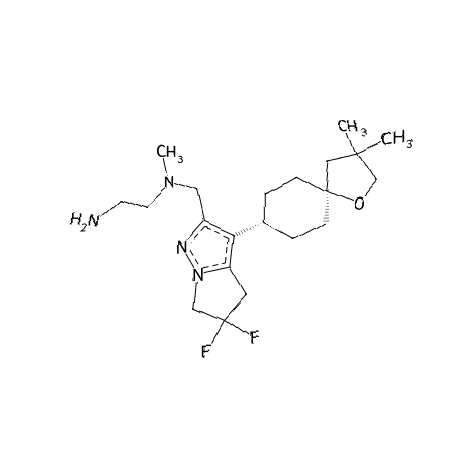 CN(CCN)Cc1nn2c(c1[C@H]1CC[C@]3(CC1)CC(C)(C)CO3)CC(F)(F)C2